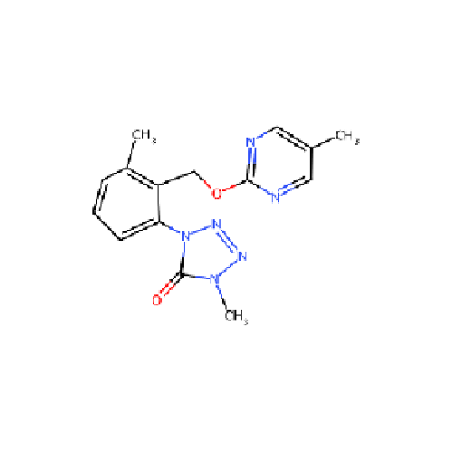 Cc1cnc(OCc2c(C)cccc2-n2nnn(C)c2=O)nc1